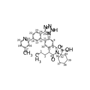 CCCCC(=O)N(Cc1ccc(-c2cc(-c3cc(C)ccn3)ccc2-c2nn[nH]n2)cc1)C1(C(=O)O)CCCCC1